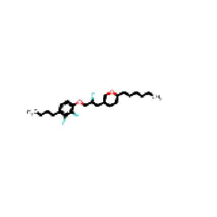 CCCCCCC1CCC(CC(F)COc2ccc(CCCC)c(F)c2F)CO1